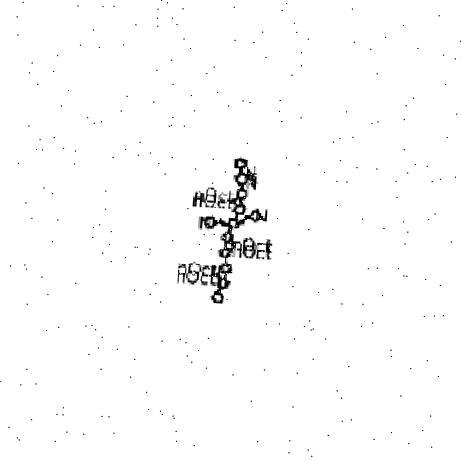 CCCCCCCCC1(CCCCCCCC)c2cc(-c3ccccc3)ccc2-c2ccc(-c3ccc4c(c3)C(CCCCCCCC)(CCCCCCCC)c3cc(-c5cc(/C=C/c6ccncc6)c(-c6ccc7c(c6)C(CCCCCCCC)(CCCCCCCC)c6cc(-c8ccc(-c9ccccc9)c9nsnc89)ccc6-7)cc5/C=C/c5ccncc5)ccc3-4)cc21